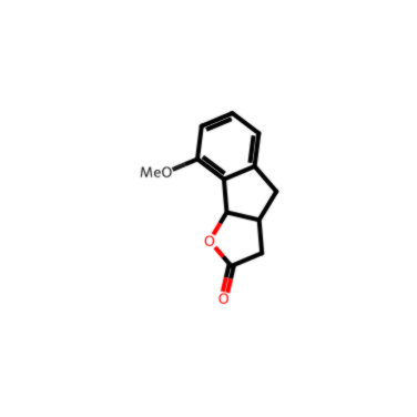 COc1cccc2c1C1OC(=O)CC1C2